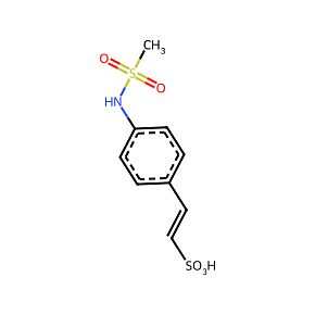 CS(=O)(=O)Nc1ccc(/C=C/S(=O)(=O)O)cc1